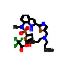 COCCN(CCOC)Cc1cnc(-c2cc3cccc(N(C(C)C)S(=O)(=O)c4cccs4)c3[nH]2)s1.O=C(O)C(F)(F)F